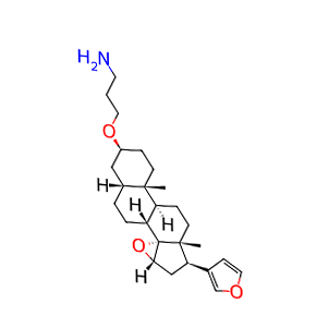 C[C@]12CC[C@H](OCCCN)C[C@H]1CC[C@@H]1[C@@H]2CC[C@]2(C)[C@@H](c3ccoc3)C[C@@H]3O[C@]312